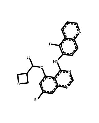 CCC(Oc1cc(Br)cc2ncnc(Nc3ccc4ncccc4c3F)c12)C1COC1